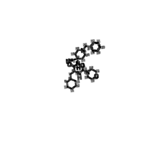 N#CC1(NC(=O)C(CC2CCCCC2)NC(=O)N2CCOCC2)CCN(Cc2ccccc2)CC1